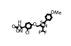 COc1ccc(-c2nc(C(F)F)c(COc3ccc(-c4noc(=O)[nH]4)c(Cl)c3)s2)cc1